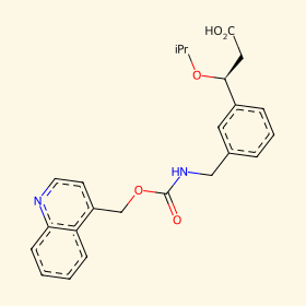 CC(C)O[C@@H](CC(=O)O)c1cccc(CNC(=O)OCc2ccnc3ccccc23)c1